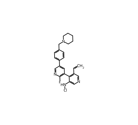 C=Cc1cncc(NCl)c1-c1cc(-c2ccc(CN3CCCCC3)cc2)cnc1F